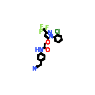 N#CCc1ccc(NC(=O)COc2cc(C(F)(F)F)nn2-c2ccccc2Cl)cc1